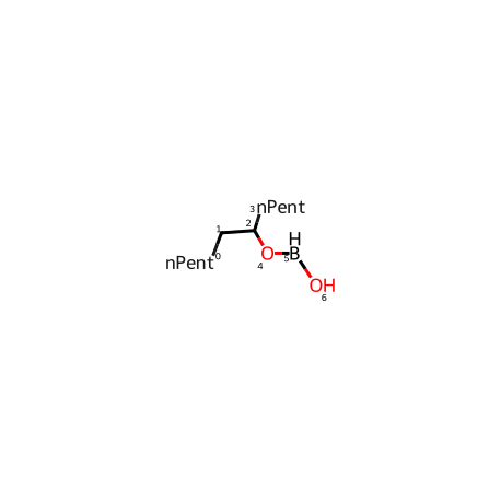 CCCCCCC(CCCCC)OBO